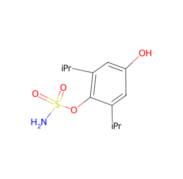 CC(C)c1cc(O)cc(C(C)C)c1OS(N)(=O)=O